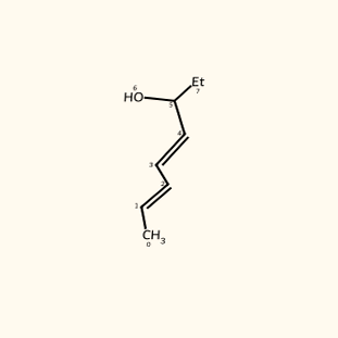 C/C=C/C=C/C(O)CC